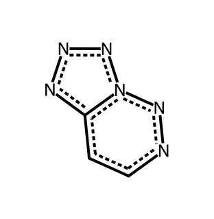 c1cc2nnnn2nn1